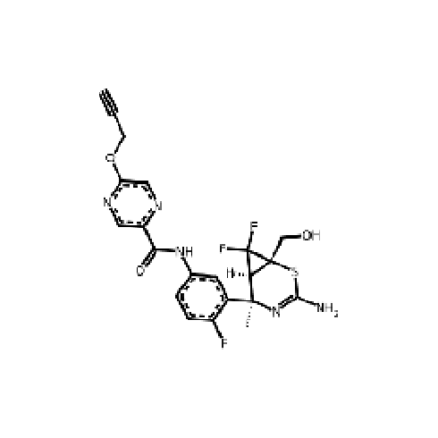 C#CCOc1cnc(C(=O)Nc2ccc(F)c([C@]3(C)N=C(N)S[C@]4(CO)[C@@H]3C4(F)F)c2)cn1